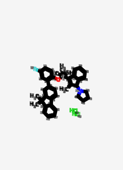 CC1=[C]([Ti]([CH3])([CH3])(=[SiH2])[O]c2ccc(F)cc2-c2ccc3c(c2)C(C)(C)c2ccccc2-3)c2ccccc2C1N1CCCC1.Cl.Cl